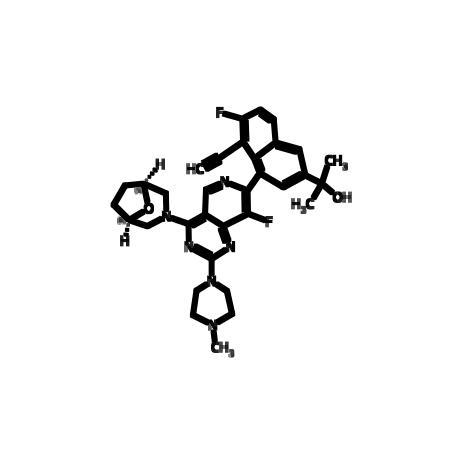 C#Cc1c(F)ccc2cc(C(C)(C)O)cc(-c3ncc4c(N5C[C@H]6CC[C@@H](C5)O6)nc(N5CCN(C)CC5)nc4c3F)c12